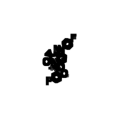 COc1ccc(F)cc1[C@@H](Oc1ccc2c(cnn2-c2ccc(F)cc2)c1)[C@H](C)NC(=O)C1(C)CC1